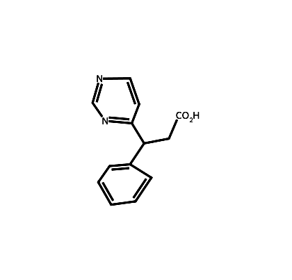 O=C(O)CC(c1ccccc1)c1ccncn1